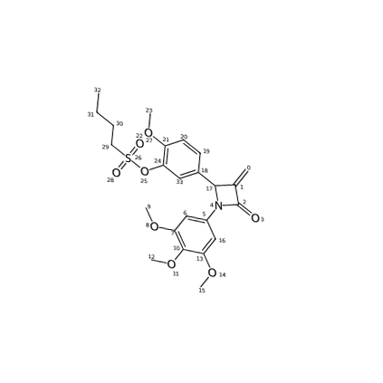 C=C1C(=O)N(c2cc(OC)c(OC)c(OC)c2)C1c1ccc(OC)c(OS(=O)(=O)CCCC)c1